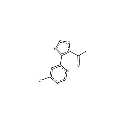 CC(=O)c1ocnc1-c1cc(Cl)ncn1